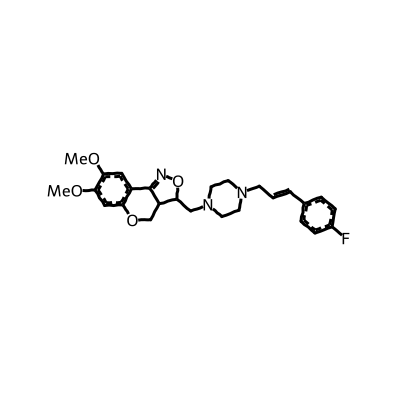 COc1cc2c(cc1OC)C1=NOC(CN3CCN(C/C=C/c4ccc(F)cc4)CC3)C1CO2